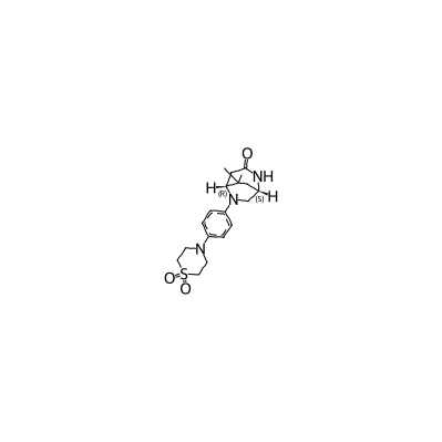 CC1(C)C[C@H]2CN(c3ccc(N4CCS(=O)(=O)CC4)cc3)[C@@H]1CC(=O)N2